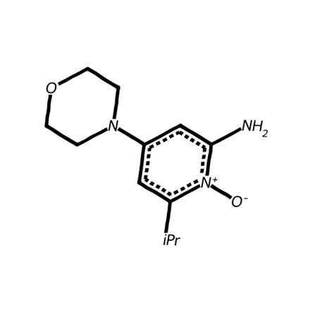 CC(C)c1cc(N2CCOCC2)cc(N)[n+]1[O-]